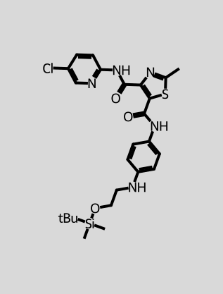 Cc1nc(C(=O)Nc2ccc(Cl)cn2)c(C(=O)Nc2ccc(NCCO[Si](C)(C)C(C)(C)C)cc2)s1